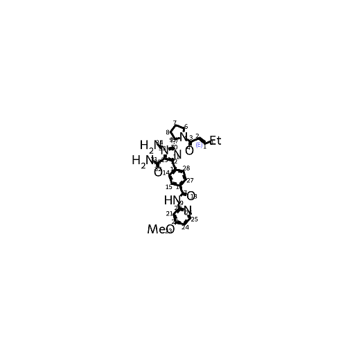 CC/C=C/C(=O)N1CCC[C@H]1c1nc(-c2ccc(C(=O)Nc3cc(OC)ccn3)cc2)c(C(N)=O)n1N